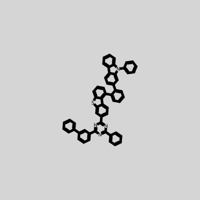 c1ccc(-c2cccc(-c3nc(-c4ccccc4)nc(-c4ccc5c(c4)sc4cccc(-c6ccccc6-c6ccc7c8ccccc8n(-c8ccccc8)c7c6)c45)n3)c2)cc1